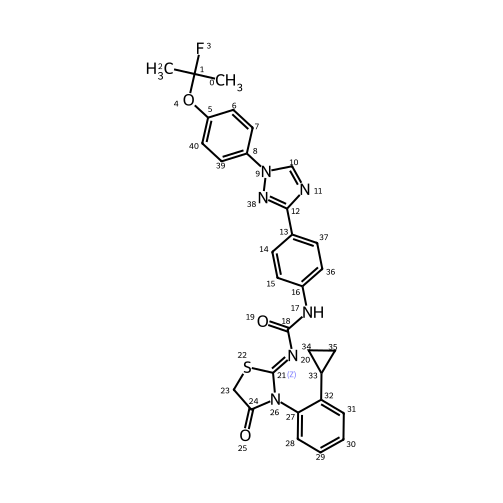 CC(C)(F)Oc1ccc(-n2cnc(-c3ccc(NC(=O)/N=C4\SCC(=O)N4c4ccccc4C4CC4)cc3)n2)cc1